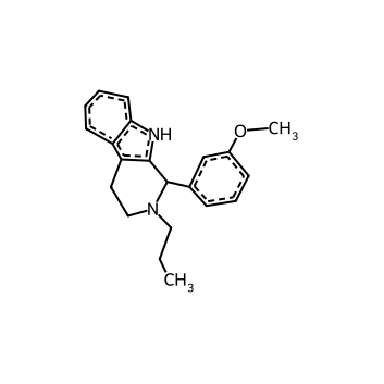 CCCN1CCc2c([nH]c3ccccc23)C1c1cccc(OC)c1